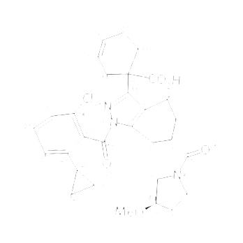 CO[C@@H]1CCN(C(=O)[C@H]2CCc3c(C4(C(=O)O)CC=CCC4)nn(C(=O)c4c(Cl)cccc4C4CC4)c3C2)C1